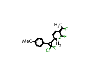 C=C(/C=C\C(=C(/C)F)C(F)F)C1C(c2ccc(OC)cc2)C1(Cl)Cl